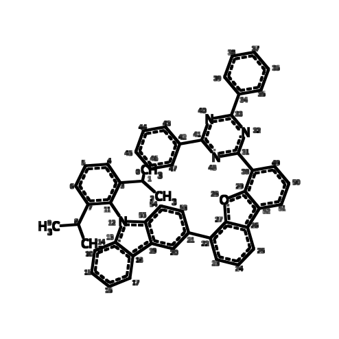 CC(C)c1cccc(C(C)C)c1-n1c2ccccc2c2cc(-c3cccc4c3oc3c(-c5nc(-c6ccccc6)nc(-c6ccccc6)n5)cccc34)ccc21